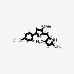 COC1=CC(c2ccc(C=O)cc2)=N/C1=C\c1[nH]c(C)cc1C